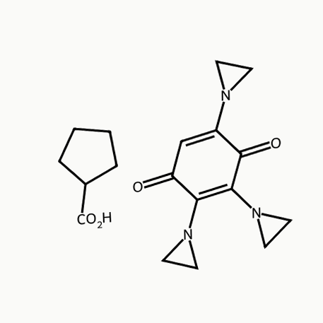 O=C(O)C1CCCC1.O=C1C=C(N2CC2)C(=O)C(N2CC2)=C1N1CC1